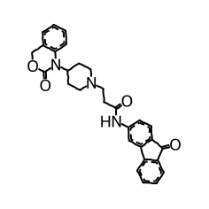 O=C(CCN1CCC(N2C(=O)OCc3ccccc32)CC1)Nc1ccc2c(c1)-c1ccccc1C2=O